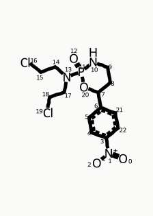 O=[N+]([O-])c1ccc(C2CCNP(=O)(N(CCCl)CCCl)O2)cc1